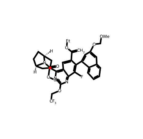 C=C(OCC)c1cc2c(N3C[C@H]4CC[C@@H](C3)N4C(=O)OC(C)(C)C)nc(OCC(F)(F)F)nc2c(F)c1-c1cc(OCOC)cc2ccccc12